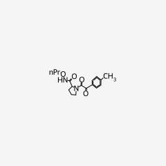 CCCONC(=O)C1CCCN1C(=O)C(=O)c1ccc(C)cc1